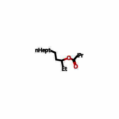 CCCCCCCCCC(CC)OC(=O)C(C)C